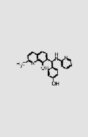 Cc1ccc2ccc(C(Nc3ccccn3)c3ccc(O)cc3)c(O)c2n1